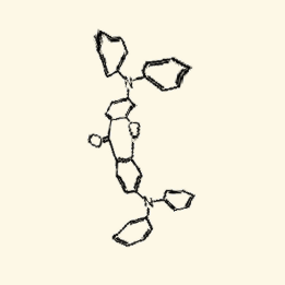 O=c1c2ccc(N(c3ccccc3)c3ccccc3)cc2oc2cc(N(c3ccccc3)c3ccccc3)ccc12